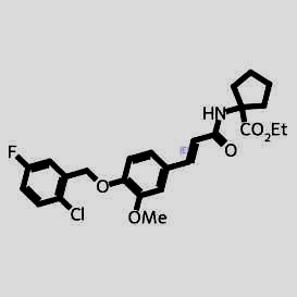 CCOC(=O)C1(NC(=O)/C=C/c2ccc(OCc3cc(F)ccc3Cl)c(OC)c2)CCCC1